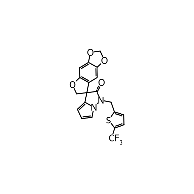 O=C1N(Cc2ccc(C(F)(F)F)s2)n2cccc2C12COc1cc3c(cc12)OCO3